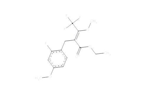 CCOC(=O)/C(Cc1ccc(OC)cc1F)=C(\OC)C(F)(F)F